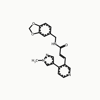 Cn1cc(-c2ccncc2C=CC(=O)NCc2ccc3c(c2)OCO3)cn1